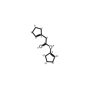 O=C(CC1=CCCC1)OC1=CCCC1